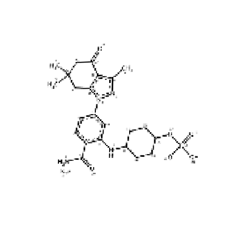 Cc1nn(-c2ccc(C(N)=O)c(NC3CCC(OP(=O)([O-])O)CC3)c2)c2c1C(=O)CC(C)(C)C2.[Na+]